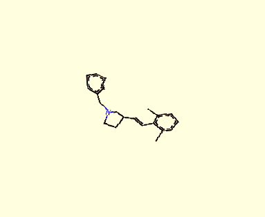 Cc1cccc(C)c1/C=C/C1CCN(Cc2ccccc2)C1